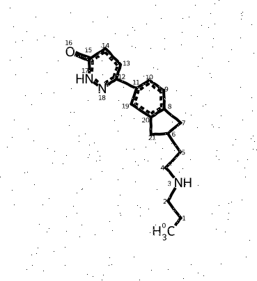 CCCNCCC1Cc2ccc(-c3ccc(=O)[nH]n3)cc2C1